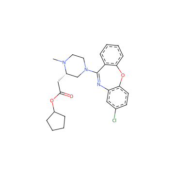 CN1CCN(C2=Nc3cc(Cl)ccc3Oc3ccccc32)C[C@@H]1CC(=O)OC1CCCC1